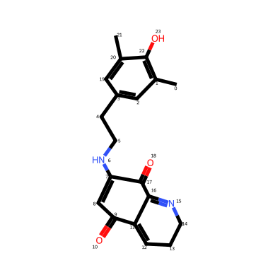 Cc1cc(CCNC2=CC(=O)C3=CCCN=C3C2=O)cc(C)c1O